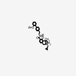 CC(C)Oc1ccccc1-c1ccc(CCNC(=O)c2ccc3c(c2O)C2(C)CCN(CC4CC4)C(C3)C2C)cc1